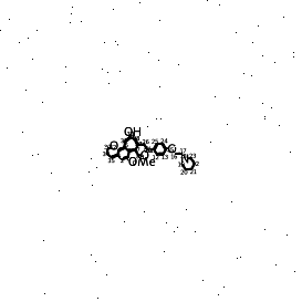 COc1cc2c(c3c1=C1CO[C@@H](c4ccc(OCCN5CCCCC5)cc4)CC1=CC(O)=C3)OCCC=2